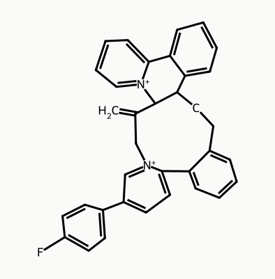 C=C1C[n+]2cc(-c3ccc(F)cc3)ccc2-c2ccccc2CCC2c3ccccc3-c3cccc[n+]3C12